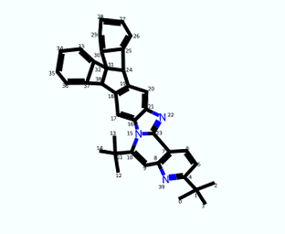 CC(C)(C)c1ccc2c(cc(C(C)(C)C)n3c4cc5c(cc4nc23)C2c3ccccc3C23c2ccccc2C53)n1